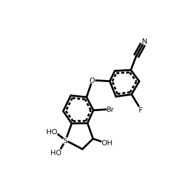 N#Cc1cc(F)cc(Oc2ccc3c(c2Br)C(O)CS3(O)O)c1